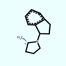 C[C@H]1CCCN1C1CCc2ccccc21